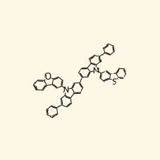 c1ccc(-c2ccc3c4ccc(-c5ccc6c7ccc(-c8ccccc8)cc7n(-c7ccc8sc9ccccc9c8c7)c6c5)cc4n(-c4ccc5oc6ccccc6c5c4)c3c2)cc1